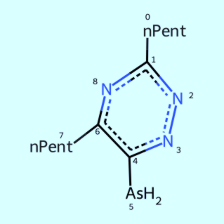 CCCCCc1nnc([AsH2])c(CCCCC)n1